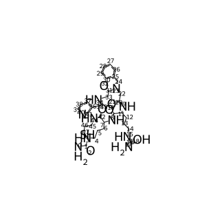 NC(=O)NCCCC(NC(=O)C(CCCN[C@@H](N)O)NC(=O)CN(Cc1ccccc1)C(=O)CNCc1cccnc1)C(=O)NCCS